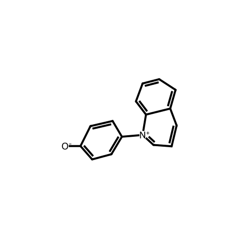 [O-]c1ccc(-[n+]2cccc3ccccc32)cc1